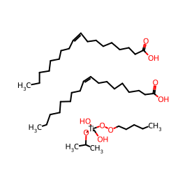 CCCCCCCC/C=C\CCCCCCCC(=O)O.CCCCCCCC/C=C\CCCCCCCC(=O)O.CCCCCO[O][Ti]([OH])([OH])[O]C(C)C